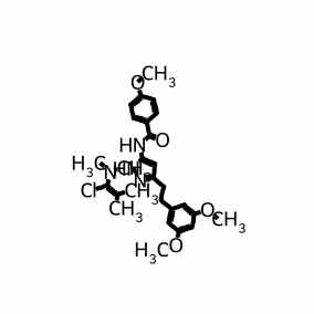 CC(C)=C(Cl)N(C)C.COc1ccc(C(=O)Nc2cc(CCc3cc(OC)cc(OC)c3)n[nH]2)cc1